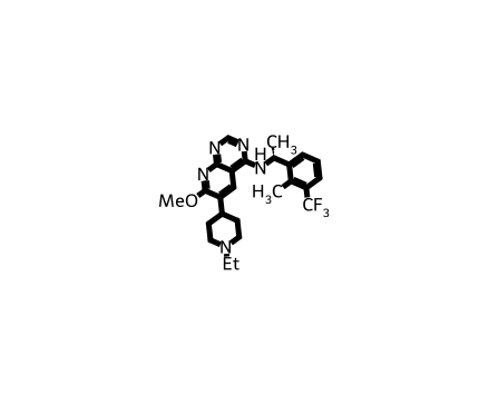 CCN1CCC(c2cc3c(N[C@H](C)c4cccc(C(F)(F)F)c4C)ncnc3nc2OC)CC1